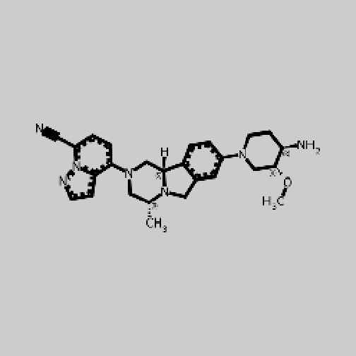 CO[C@@H]1CN(c2ccc3c(c2)CN2[C@H](C)CN(c4ccc(C#N)n5nccc45)C[C@H]32)CC[C@H]1N